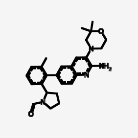 Cc1cccc(C2CCCN2C=O)c1-c1ccc2nc(N)c(N3CCOC(C)(C)C3)cc2c1